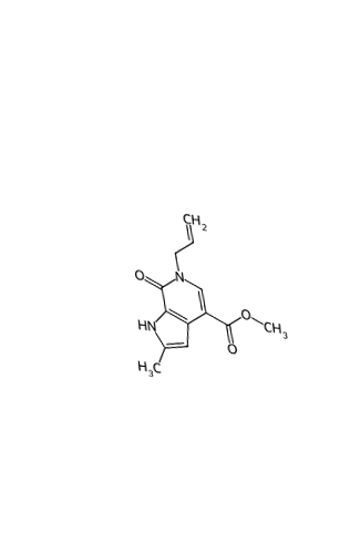 C=CCn1cc(C(=O)OC)c2cc(C)[nH]c2c1=O